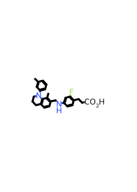 Cc1cccc(N2CCCc3ccc(CNc4ccc(CCC(=O)O)c(F)c4)c(C)c32)c1